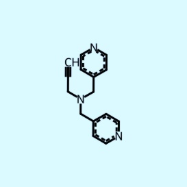 C#CCN(Cc1ccncc1)Cc1ccncc1